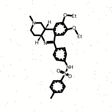 CCOc1cc2c(cc1OCC)[C@H]1CN(C)CC[C@H]1N=C2c1ccc(NS(=O)(=O)c2ccc(C)cc2)cc1